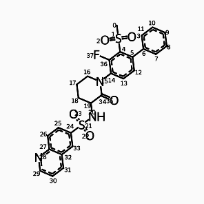 CS(=O)(=O)c1c(-c2ccccc2)ccc(N2CCCC(NS(=O)(=O)c3ccc4ncccc4c3)C2=O)c1F